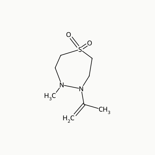 C=C(C)N1CCS(=O)(=O)CCN1C